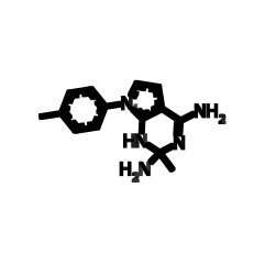 Cc1ccc(-n2ccc3c2NC(C)(N)N=C3N)cc1